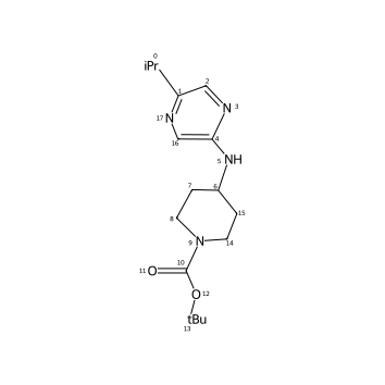 CC(C)c1cnc(NC2CCN(C(=O)OC(C)(C)C)CC2)cn1